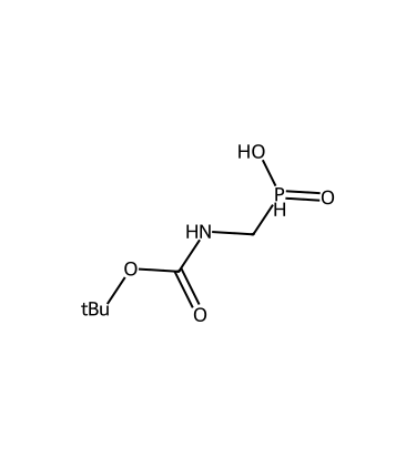 CC(C)(C)OC(=O)NC[PH](=O)O